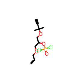 C#CC(C)(C)OCC(COCC=C)OP(=O)(Cl)Cl